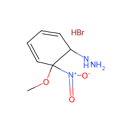 Br.COC1([N+](=O)[O-])C=CC=CC1NN